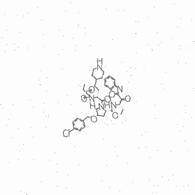 CC[C@H](NC(=O)[C@@H]1C[C@@H](OCc2ccc(Cl)cc2)CN1C(=O)[C@@H](CCC1CCNCC1)NS(=O)(=O)CC)C(=O)c1nc2ccccc2o1